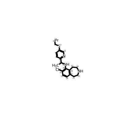 CC(C)CSc1ccc(C(C)Nc2c(Cl)ccc3c2CCNCC3)nc1